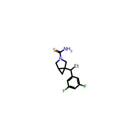 CCC(c1cc(F)cc(F)c1)C12CC1CN(C(N)=S)C2